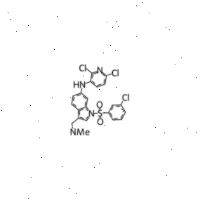 CNCc1cn(S(=O)(=O)c2cccc(Cl)c2)c2cc(Nc3ccc(Cl)nc3Cl)ccc12